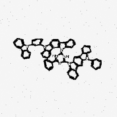 c1ccc(C2=NC(n3c4ccccc4c4cc5c(cc43)c3ccccc3n5-c3ccccc3)NC(n3c4ccccc4c4ccc5c(c6ccccc6n5-c5cccc(-n6c7ccccc7c7ccccc76)c5)c43)N2)cc1